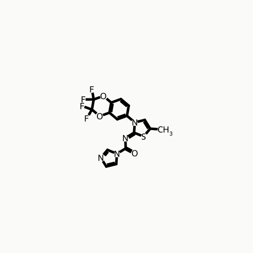 Cc1cn(-c2ccc3c(c2)OC(F)(F)C(F)(F)O3)/c(=N/C(=O)n2ccnc2)s1